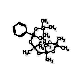 C[Si](C)(C)O[Si](C)(C)O[Si](C)(C)O[Si](C)(O[Si](C)(C)C)c1ccccc1